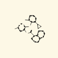 Cc1cccc(C2CC2)c1Oc1nnc(Cl)cc1OC(=O)c1cccc2ccccc12